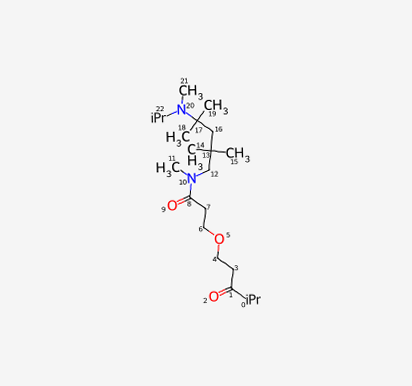 CC(C)C(=O)CCOCCC(=O)N(C)CC(C)(C)CC(C)(C)N(C)C(C)C